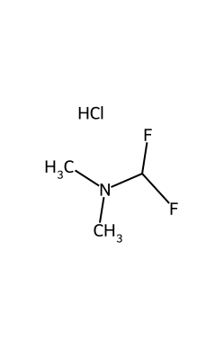 CN(C)C(F)F.Cl